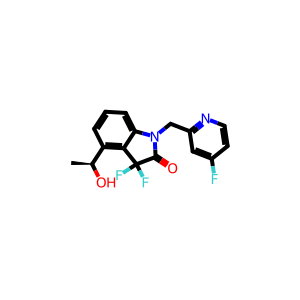 C[C@H](O)c1cccc2c1C(F)(F)C(=O)N2Cc1cc(F)ccn1